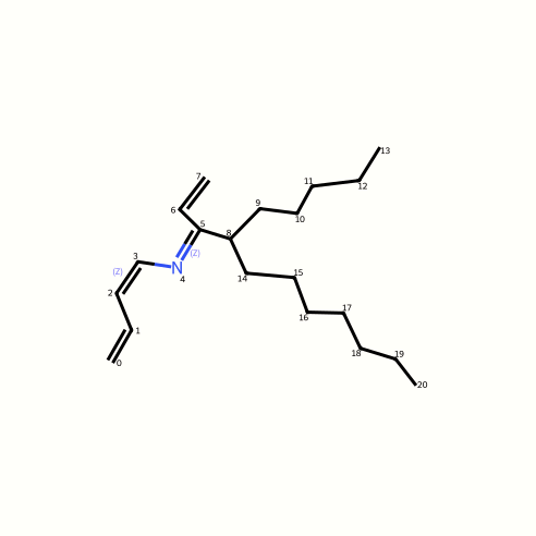 C=C/C=C\N=C(/C=C)C(CCCCC)CCCCCCC